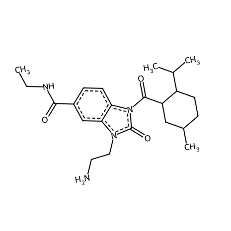 CCNC(=O)c1ccc2c(c1)n(CCN)c(=O)n2C(=O)C1CC(C)CCC1C(C)C